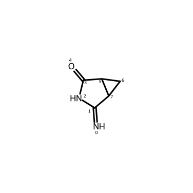 N=C1NC(=O)C2CC12